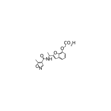 Cc1oncc1C(=O)NC(C)c1cc2cccc(OCC(=O)O)c2o1